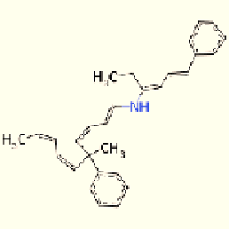 C/C=C\C=C/C(C)(/C=C\C=C\N/C(=C/C=C/c1ccccc1)CC)c1ccccc1